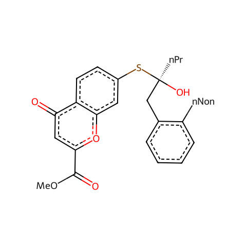 CCCCCCCCCc1ccccc1C[C@@](O)(CCC)Sc1ccc2c(=O)cc(C(=O)OC)oc2c1